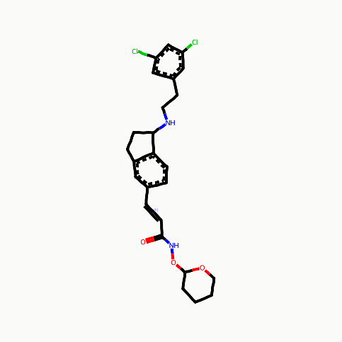 O=C(/C=C/c1ccc2c(c1)CCC2NCCc1cc(Cl)cc(Cl)c1)NOC1CCCCO1